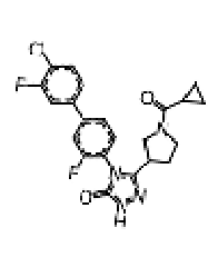 O=C(C1CC1)N1CCC(c2n[nH]c(=O)n2-c2ccc(-c3ccc(Cl)c(F)c3)cc2F)C1